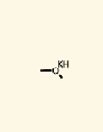 COC.[KH]